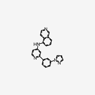 c1cc(-c2cc(Nc3cccc4cnccc34)ccn2)cc(-n2cccn2)c1